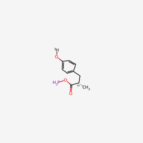 [3H]Oc1ccc(C[C@H](C)C(=O)OP)cc1